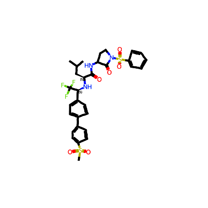 CC(C)C[C@H](N[C@@H](c1ccc(-c2ccc(S(C)(=O)=O)cc2)cc1)C(F)(F)F)C(=O)NC1CCN(S(=O)(=O)c2ccccc2)C1=O